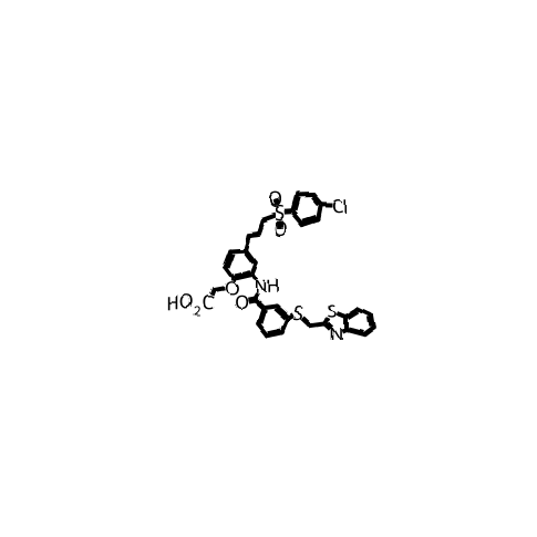 O=C(O)COc1ccc(CCCS(=O)(=O)c2ccc(Cl)cc2)cc1NC(=O)c1cccc(SCc2nc3ccccc3s2)c1